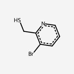 SCc1ncccc1Br